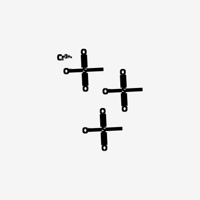 CS(=O)(=O)[O-].CS(=O)(=O)[O-].CS(=O)(=O)[O-].[Cr+3]